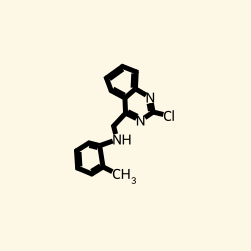 Cc1ccccc1NCc1nc(Cl)nc2ccccc12